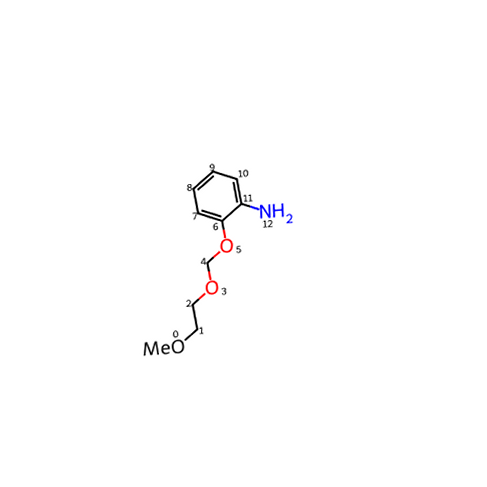 COCCOCOc1ccccc1N